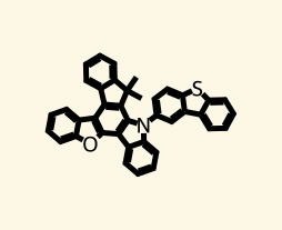 CC1(C)c2ccccc2-c2c1c1c(c3ccccc3n1-c1ccc3sc4ccccc4c3c1)c1oc3ccccc3c21